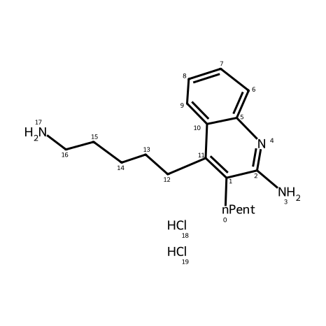 CCCCCc1c(N)nc2ccccc2c1CCCCCN.Cl.Cl